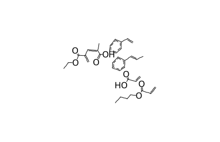 C=C(C=C(C)C(=O)O)C(=O)OCC.C=CC(=O)O.C=CC(=O)OCCCC.C=Cc1ccccc1.CC=Cc1ccccc1